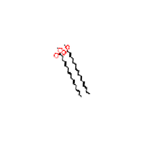 CCC=CCC=CCC=CCCCCCC(=O)OC.CCC=CCC=CCC=CCCCCCC(=O)OC